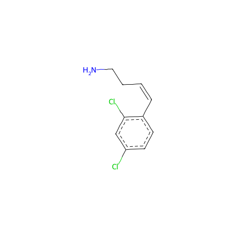 NCC/C=C\c1ccc(Cl)cc1Cl